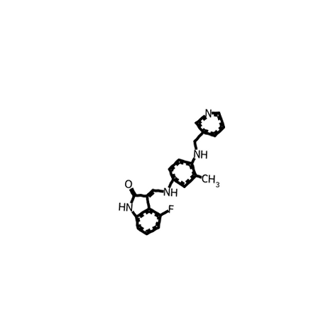 Cc1cc(N/C=C2/C(=O)Nc3cccc(F)c32)ccc1NCc1cccnc1